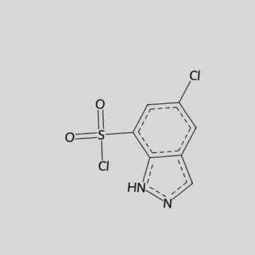 O=S(=O)(Cl)c1cc(Cl)cc2cn[nH]c12